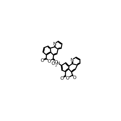 O=C1OC(=O)c2cc3cccnc3c3cc([N+](=O)[O-])cc1c23.O=C1OC(=O)c2cc3cccnc3c3cccc1c23